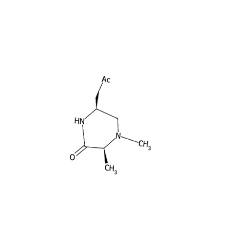 CC(=O)C[C@H]1CN(C)[C@@H](C)C(=O)N1